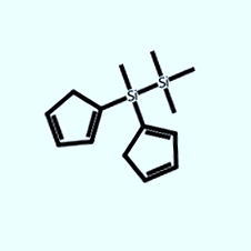 C[Si](C)(C)[Si](C)(C1=CC=CC1)C1=CC=CC1